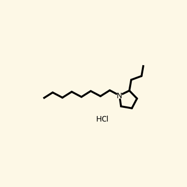 CCCCCCCCN1CCCC1CCC.Cl